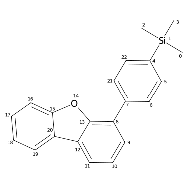 C[Si](C)(C)c1ccc(-c2cccc3c2oc2ccccc23)cc1